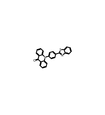 O=c1c2ccccc2n(-c2ccc(-c3nc4ccccc4s3)cc2)c2ccccc12